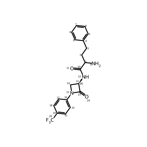 NC(CCc1ccccc1)C(=O)N[C@@H]1CN(c2ccc(C(F)(F)F)cc2)C1=O